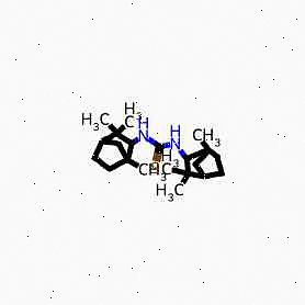 CC12CCC(C1)C(C)(C)C2NC(=S)NC1C2(C)CCC(C2)C1(C)C